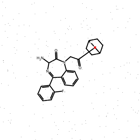 NC1N=C(c2ccccc2F)c2ccccc2N(CC(=O)N2CC3CCC(CC3)C2)C1=O